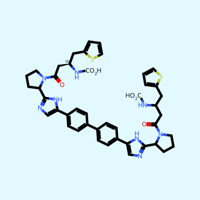 O=C(O)NC(CC(=O)N1CCCC1c1ncc(-c2ccc(-c3ccc(-c4cnc(C5CCCN5C(=O)C[C@@H](Cc5cccs5)NC(=O)O)[nH]4)cc3)cc2)[nH]1)Cc1cccs1